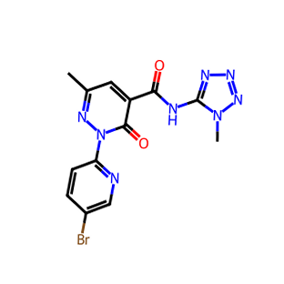 Cc1cc(C(=O)Nc2nnnn2C)c(=O)n(-c2ccc(Br)cn2)n1